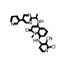 CC(Nc1cc(=O)n(C)c2c(Nc3ccnc(Cl)c3C#N)cccc12)c1ncc(-c2cccnc2)cn1